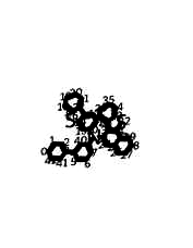 c1ccc(-c2cccc(N(c3ccc4c(c3)sc3ccccc34)c3cc4ccccc4c4sc5ccccc5c34)c2)cc1